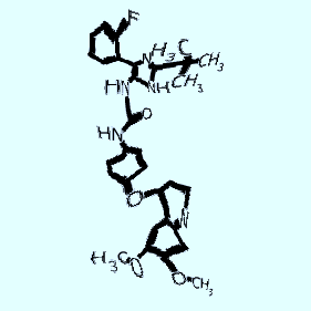 COc1cc2nccc(Oc3ccc(NC(=O)Nc4[nH]c(C(C)(C)C)nc4-c4ccccc4F)cc3)c2cc1OC